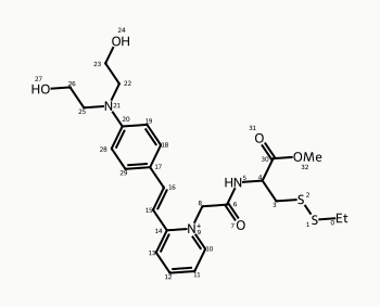 CCSSCC(NC(=O)C[n+]1ccccc1/C=C/c1ccc(N(CCO)CCO)cc1)C(=O)OC